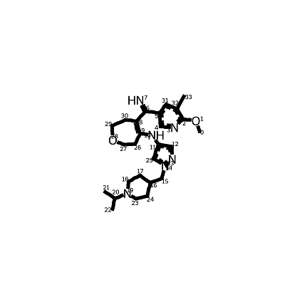 COc1ncc(C(=N)C2=C(Nc3cnn(CC4CCN(C(C)C)CC4)c3)CCOCC2)cc1C